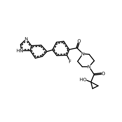 O=C(c1ccc(-c2ccc3[nH]cnc3c2)cc1F)N1CCN(C(=O)C2(O)CC2)CC1